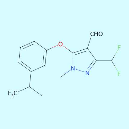 CC(c1cccc(Oc2c(C=O)c(C(F)F)nn2C)c1)C(F)(F)F